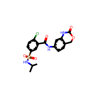 CC(C)NS(=O)(=O)c1ccc(Cl)c(C(=O)Nc2ccc3c(c2)NC(=O)OC3)c1